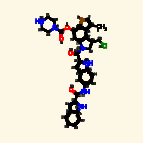 Cc1csc2c(OC(=O)N3CCNCC3)cc3c(c12)C(CCl)CN3C(=O)c1cc2cc(NC(=O)c3cc4ccccc4[nH]3)ccc2[nH]1